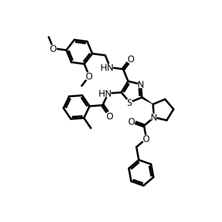 COc1ccc(CNC(=O)c2nc([C@H]3CCCN3C(=O)OCc3ccccc3)sc2NC(=O)c2ccccc2C)c(OC)c1